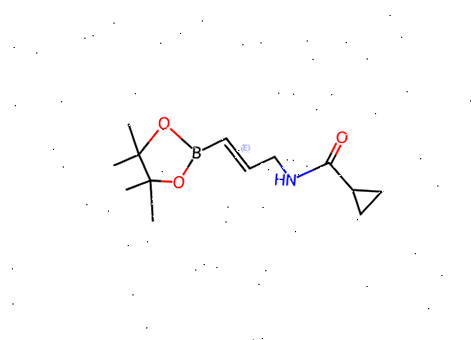 CC1(C)OB(/C=C/CNC(=O)C2CC2)OC1(C)C